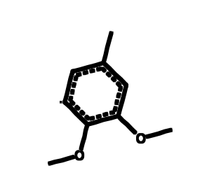 COc1[c]cc(C)cc1OC